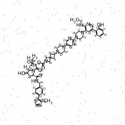 CCNc1nnc(-c2ccccc2O)cc1N1CCN(c2ncc(N3CCN(C4CC5(C4)CN(C(=O)O[C@H](C(=O)N4C[C@H](O)C[C@H]4C(=O)NCc4ccc(-c6scnc6C)cc4)C(C)(C)C)C5)CC3)cn2)CC1